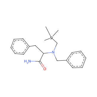 C[Si](C)(C)CN(Cc1ccccc1)C(Cc1ccccc1)C(N)=O